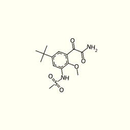 COc1c(NS(C)(=O)=O)cc(C(C)(C)C)cc1C(=O)C(N)=O